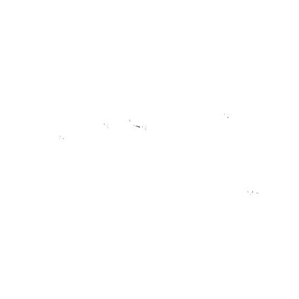 CCN1CCC(N2CC[C@@H](N(C)C(=O)COCCN(C)S(=O)(=O)c3c(C)cc(OC)cc3C)C2)CC1